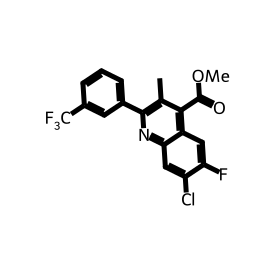 COC(=O)c1c(C)c(-c2cccc(C(F)(F)F)c2)nc2cc(Cl)c(F)cc12